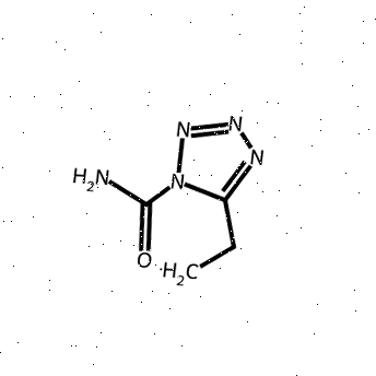 [CH2]Cc1nnnn1C(N)=O